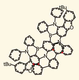 CC(C)(C)c1ccc2oc3cc4c5c(c3c2c1)N(c1ccccc1)c1ccccc1B5c1cc2c(cc1N4c1ccccc1)N(c1c(-c3ccccc3)cccc1-c1ccccc1)c1cc3oc4ccc(C(C)(C)C)cc4c3c3c1B2c1ccccc1N3c1ccccc1